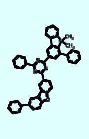 C[Si]1(C)c2ccccc2-c2cc(-c3nc(-c4ccccc4)nc(-c4ccc5oc6ccc(-c7ccccc7)cc6c5c4)n3)cc(-c3ccccc3)c21